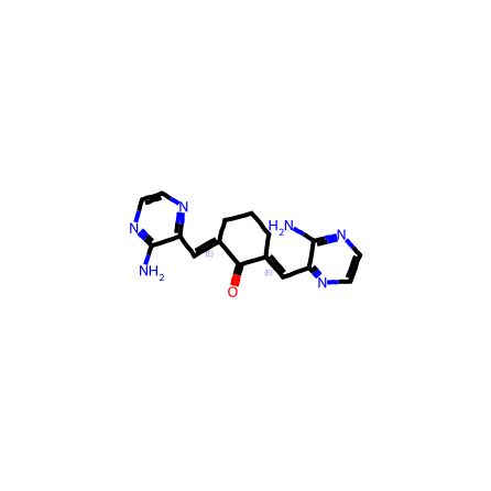 Nc1nccnc1/C=C1\CCC/C(=C\c2nccnc2N)C1=O